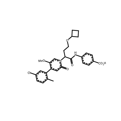 COc1cn(C(CCOC2CCC2)C(=O)Nc2ccc(C(=O)O)cc2)c(=O)cc1-c1cc(Cl)ccc1C